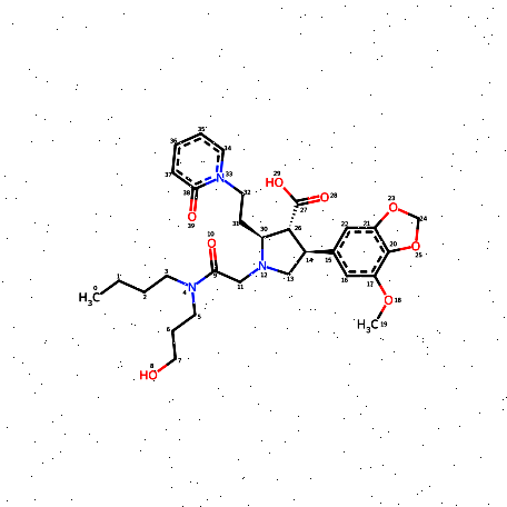 CCCCN(CCCO)C(=O)CN1C[C@H](c2cc(OC)c3c(c2)OCO3)[C@@H](C(=O)O)[C@@H]1CCn1ccccc1=O